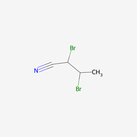 CC(Br)C(Br)C#N